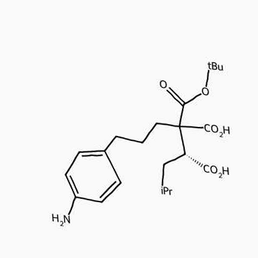 CC(C)C[C@@H](C(=O)O)C(CCCc1ccc(N)cc1)(C(=O)O)C(=O)OC(C)(C)C